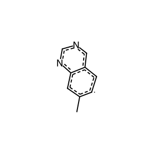 Cc1[c]cc2cncnc2c1